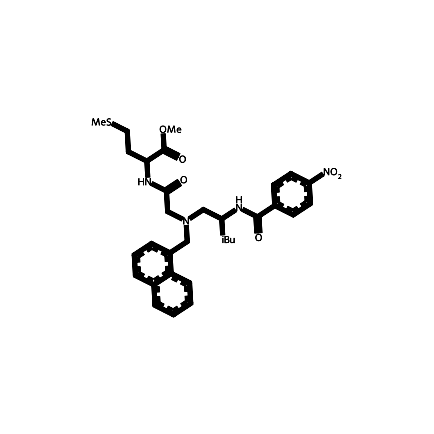 CCC(C)C(CN(CC(=O)NC(CCSC)C(=O)OC)Cc1cccc2ccccc12)NC(=O)c1ccc([N+](=O)[O-])cc1